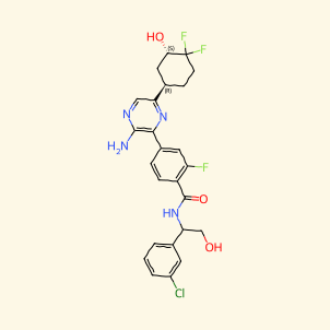 Nc1ncc([C@@H]2CCC(F)(F)[C@@H](O)C2)nc1-c1ccc(C(=O)NC(CO)c2cccc(Cl)c2)c(F)c1